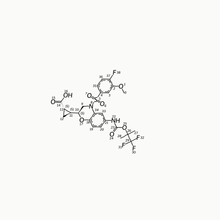 COc1cc(S(=O)(=O)N2C[C@H]([C@H]3C[C@@H]3C(=O)O)Oc3ccc(NC(=O)OC(C)(C)C(F)(F)F)cc32)ccc1F